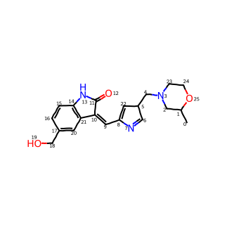 CC1CN(CC2C=NC(C=C3C(=O)Nc4ccc(CO)cc43)=C2)CCO1